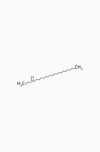 CCCCCCCCCCCCCCCCCCCCNCCCC